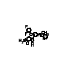 Cc1cccnc1CNc1ccc(Oc2ccc(F)cc2F)c(-c2c[nH]c3c(=O)n(C)ccc23)c1